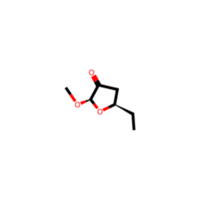 CC[C@@H]1CC(=O)[C@H](OC)O1